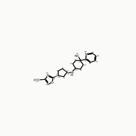 Cc1noc([C@H]2CC[C@@H](NC3CCC(C#N)(c4ccccn4)CC3)C2)n1